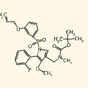 C=CCOc1cccc(S(=O)(=O)n2cc(CN(C)C(=O)OC(C)(C)C)c(OC)c2-c2ccccc2F)c1